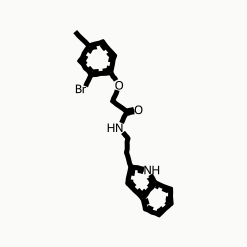 Cc1ccc(OCC(=O)NCCc2cc3ccccc3[nH]2)c(Br)c1